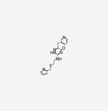 O=c1nc(NCCSCc2ccsn2)[nH]nc1Cc1cccnc1